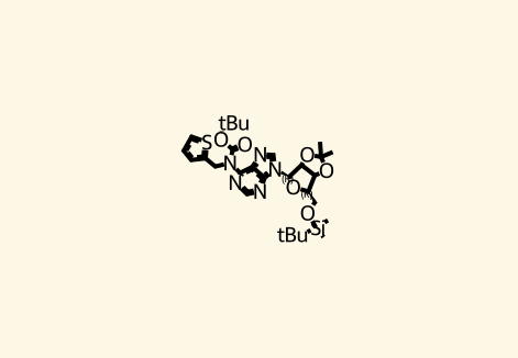 CC(C)(C)OC(=O)N(Cc1cccs1)c1ncnc2c1ncn2[C@@H]1O[C@H](CO[Si](C)(C)C(C)(C)C)C2OC(C)(C)OC21